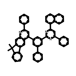 CC1(C)c2ccccc2-c2cc3c(-c4cc(-c5ccccc5)cc(-c5nc(-c6ccccc6)cc(-c6cccc7ccccc67)n5)c4)cc(-c4ccccc4)nc3cc21